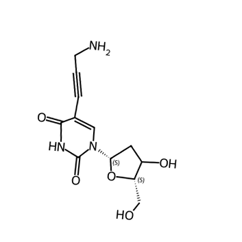 NCC#Cc1cn([C@@H]2CC(O)[C@H](CO)O2)c(=O)[nH]c1=O